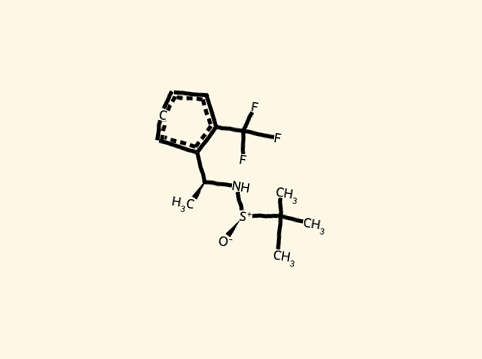 C[C@H](N[S@+]([O-])C(C)(C)C)c1ccccc1C(F)(F)F